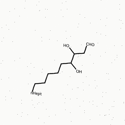 CCCCCCCCCCCCC(O)C(O)CC=O